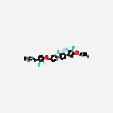 CCCc1ccc(OCC2CCC(c3ccc(-c4ccc(OCC)c(F)c4F)c(F)c3F)CC2)c(F)c1F